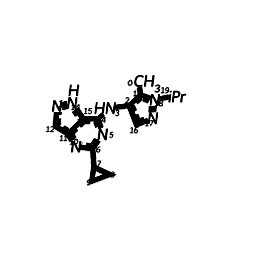 Cc1c(Nc2nc(C3CC3)nc3cn[nH]c23)cnn1C(C)C